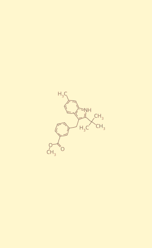 COC(=O)c1cccc(Cc2c(C(C)(C)C)[nH]c3cc(C)ccc23)c1